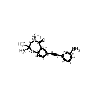 CN1CC(C)(C)Oc2ncc(C#Cc3cccc(N)n3)cc2C1=O